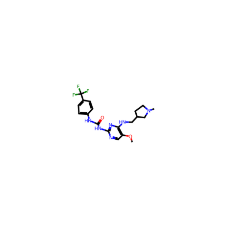 COc1cnc(NC(=O)Nc2ccc(C(F)(F)F)cc2)nc1NCC1CCN(C)C1